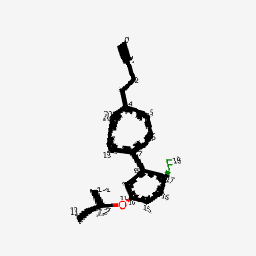 C#CCCc1ccc(-c2cc(OC(C)C)ccc2F)cc1